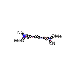 COc1ccc(N(C2=CC=C(C#N)CC2)c2ccc3c(c2)C(C)(C)c2cc(/C=C/c4ccc5c(c4)C(C)(C)c4cc(/C=C/c6ccc7c(c6)C(C)(C)c6cc(N(c8ccc(C#N)cc8)c8ccc(OC)cc8)ccc6-7)ccc4-5)ccc2-3)cc1